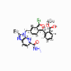 CCc1nc2ccc(C(N)=O)nc2n1Cc1ccc2c(-c3ccccc3C(=O)OC(C)(C)C)oc(Br)c2c1